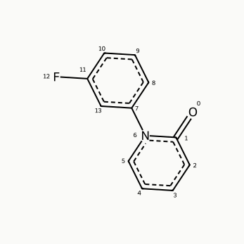 O=c1ccccn1-c1cccc(F)c1